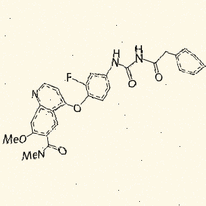 CNC(=O)c1cc2c(Oc3ccc(NC(=O)NC(=O)Cc4ccccc4)cc3F)ccnc2cc1OC